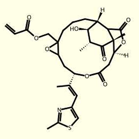 C=CC(=O)OCC12CCC[C@@H]3C4C(=O)O[C@@H](CC(=O)O[C@H](/C(C)=C/c5csc(C)n5)CC1O2)[C@]4(C)C(=O)[C@H](C)[C@H]3O